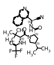 CC(C)[C@@H]1C[C@@H](C(=O)N[C@H](C#N)c2cncc3ccccc23)N(C(=O)[C@@H](NC(=O)C(F)(F)F)C(C)(C)C)C1